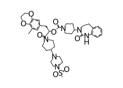 Cc1cc(C[C@@H](OC(=O)N2CCC(N3CCc4ccccc4NC3=O)CC2)C(=O)N2CCC(N3CCN(S(C)(=O)=O)CC3)CC2)cc2c1OCCO2